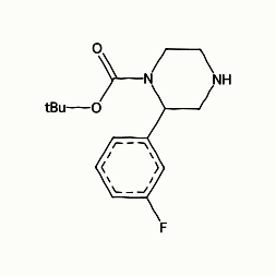 CC(C)(C)OC(=O)N1CCNCC1c1cccc(F)c1